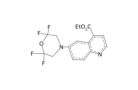 CCOC(=O)c1ccnc2ccc(N3CC(F)(F)OC(F)(F)C3)cc12